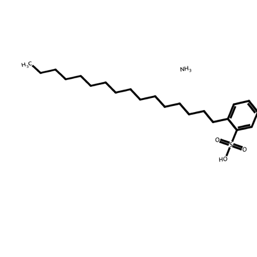 CCCCCCCCCCCCCCCCc1ccccc1S(=O)(=O)O.N